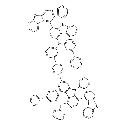 c1ccc(-c2cccc(N(c3cccc(-c4ccc(-c5ccc6c7c(N(c8ccccc8)c8cccc(-c9ccccc9)c8)ccc(-c8cccc9oc%10ccccc%10c89)c7n(-c7ccccc7)c6c5)cc4)c3)c3ccc(-c4cccc5oc6ccccc6c45)c4c3c3ccccc3n4-c3ccccc3)c2)cc1